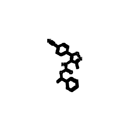 Cc1noc(-c2ccc(C#N)cc2)c1NC(=O)OC(C)c1ccccc1